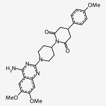 COc1ccc(C2CC(=O)N(C3CCN(c4nc(N)c5cc(OC)c(OC)cc5n4)CC3)C(=O)C2)cc1